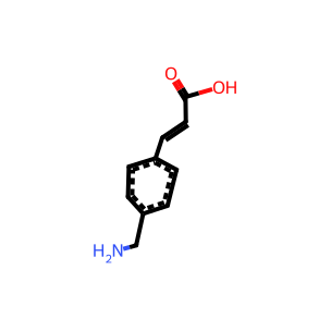 NCc1ccc(C=CC(=O)O)cc1